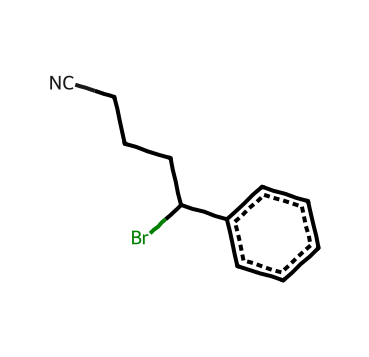 N#CCCCC(Br)c1ccccc1